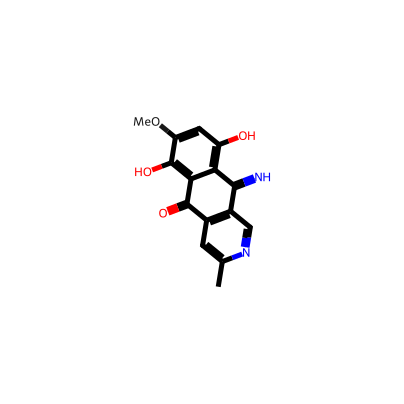 COc1cc(O)c2c(c1O)C(=O)c1cc(C)ncc1C2=N